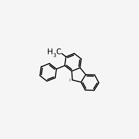 Cc1ccc2c(c1-c1ccccc1)[C]c1ccccc1-2